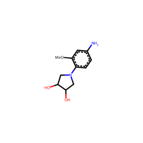 COc1cc(N)ccc1N1CC(O)C(O)C1